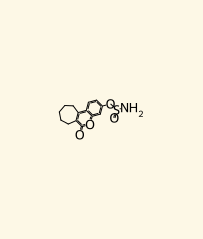 NS(=O)Oc1ccc2c3c(c(=O)oc2c1)CCCCC3